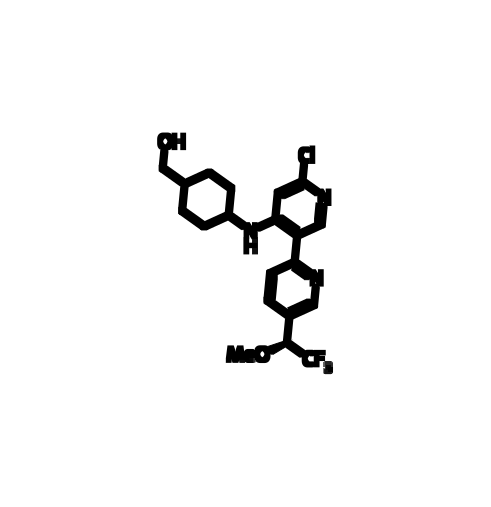 CO[C@@H](c1ccc(-c2cnc(Cl)cc2NC2CCC(CO)CC2)nc1)C(F)(F)F